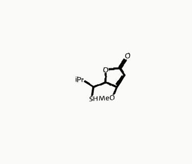 COC1=CC(=O)OC1C(S)C(C)C